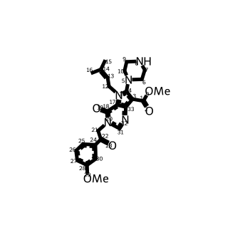 COC(=O)c1c(N2CCNCC2)n(CC=C(C)C)c2c(=O)n(CC(=O)c3cccc(OC)c3)cnc12